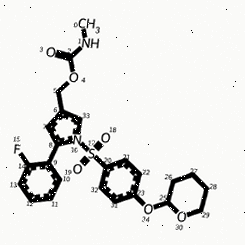 CNC(=O)OCc1cc(-c2ccccc2F)n(S(=O)(=O)c2ccc(OC3CCCCO3)cc2)c1